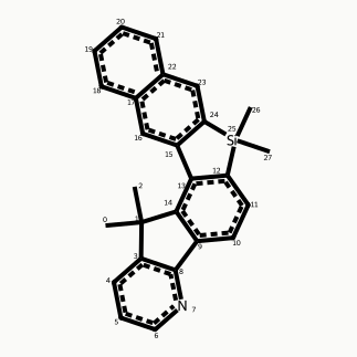 CC1(C)c2cccnc2-c2ccc3c(c21)-c1cc2ccccc2cc1[Si]3(C)C